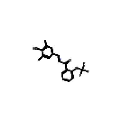 Cc1cc(/C=C/C(=O)c2ccccc2OC(F)(F)F)cc(C)c1O